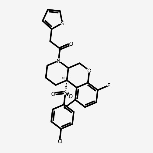 O=C(Cc1cccs1)N1CCC[C@]2(S(=O)(=O)c3ccc(Cl)cc3)c3c(F)ccc(F)c3OCC12